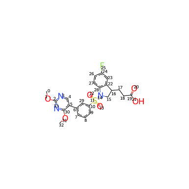 COc1ncc(-c2cccc(S(=O)(=O)N3CC(CCC(=O)O)c4cc(F)ccc43)c2)c(OC)n1